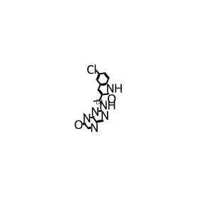 C[C@H](Nc1ncc2ncc(=O)n(C)c2n1)c1cc2cc(Cl)ccc2[nH]c1=O